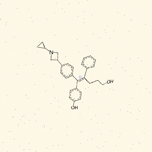 OCCC/C(=C(\c1ccc(O)cc1)c1ccc(C2CN(C3CC3)C2)cc1)c1ccccc1